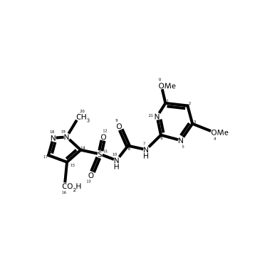 COc1cc(OC)nc(NC(=O)NS(=O)(=O)c2c(C(=O)O)cnn2C)n1